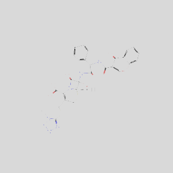 CO[C@@]1(NC(=O)C(NC(=O)c2coc3ccccc3c2=O)c2ccc(O)cc2)C(=O)N2C(C(=O)O)=C(CSc3nnnn3C)CS[C@H]21